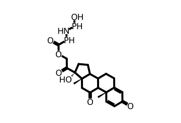 C[C@]12C=CC(=O)C=C1CCC1C2C(=O)C[C@@]2(C)C1CC[C@]2(O)C(=O)COC(=O)PNPO